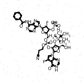 CC(C)(C)[Si](C)(C)O[C@H]1[C@@H](OP(=O)(OCCC#N)OC[C@H]2O[C@@H](n3cnc4c(NC(=O)c5ccccc5)ncnc43)[C@H](F)[C@@H]2O[PH](=O)O)[C@H](n2cc(F)c3c(=O)[nH]cnc32)O[C@@H]1CO